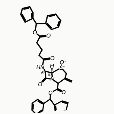 C=C1C[S+]([O-])[C@H]2[C@H](NC(=O)CCCC(=O)OC(c3ccccc3)c3ccccc3)C(=O)N2C1C(=O)OC(c1ccccc1)c1ccccc1